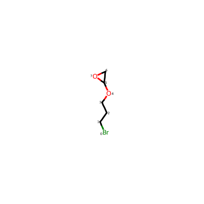 BrCCCOC1CO1